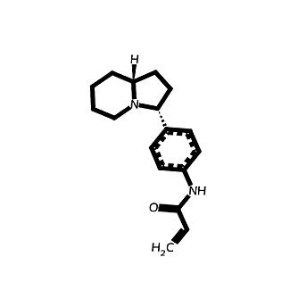 C=CC(=O)Nc1ccc([C@H]2CC[C@H]3CCCCN32)cc1